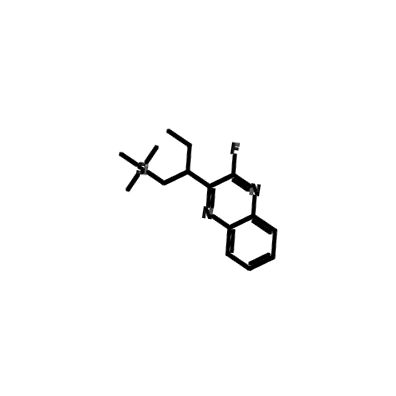 CCC(C[Si](C)(C)C)c1nc2ccccc2nc1F